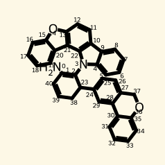 NC1=C(n2c3ccccc3c3ccc4oc5ccccc5c4c32)C(c2ccc3c(c2)-c2ccccc2OC3)CC=C1